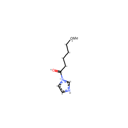 COCCCCC(=O)n1ccnc1